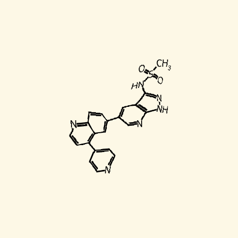 CS(=O)(=O)Nc1n[nH]c2ncc(-c3ccc4nccc(-c5ccncc5)c4c3)cc12